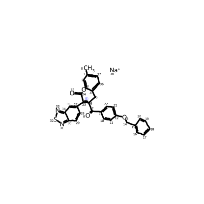 Cc1ccc(C/C(C(=O)c2ccc(OCc3ccccc3)cc2)=C(\C(=O)[O-])c2ccc3nsnc3c2)cc1.[Na+]